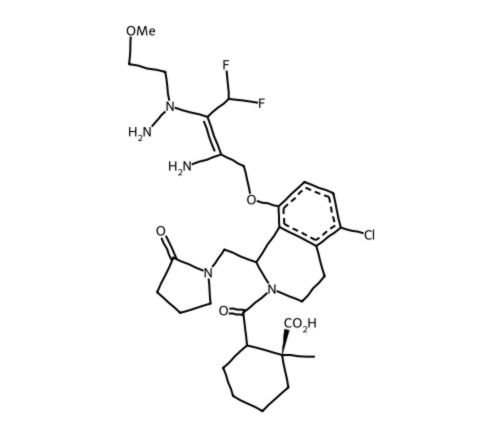 COCCN(N)/C(=C(\N)COc1ccc(Cl)c2c1C(CN1CCCC1=O)N(C(=O)C1CCCC[C@]1(C)C(=O)O)CC2)C(F)F